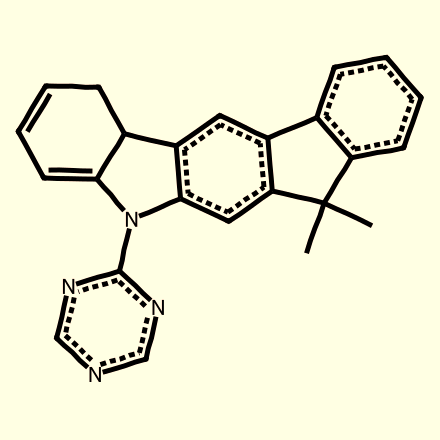 CC1(C)c2ccccc2-c2cc3c(cc21)N(c1ncncn1)C1=CC=CCC13